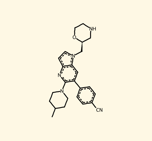 CC1CCN(c2nc3ccn(C[C@@H]4CNCCO4)c3cc2-c2ccc(C#N)cc2)CC1